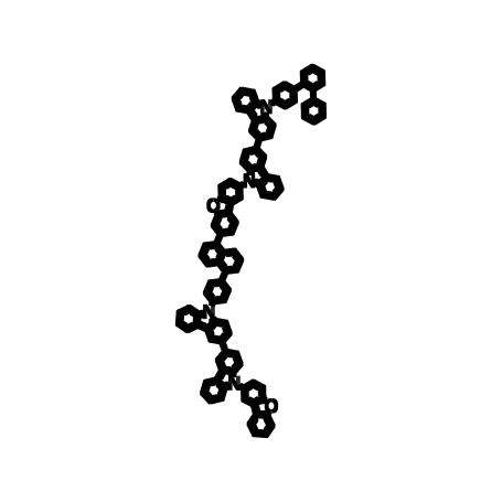 c1ccc(-c2ccccc2-c2ccc(-n3c4ccccc4c4cc(-c5ccc6c(c5)c5ccccc5n6-c5ccc6oc7cc(-c8cccc9c(-c%10ccc(-n%11c%12ccccc%12c%12cc(-c%13ccc%14c(c%13)c%13ccccc%13n%14-c%13ccc%14oc%15ccccc%15c%14c%13)ccc%12%11)cc%10)cccc89)ccc7c6c5)ccc43)cc2)cc1